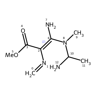 C=N/C(C(=O)OC)=C(/N)N(C)C(C)N